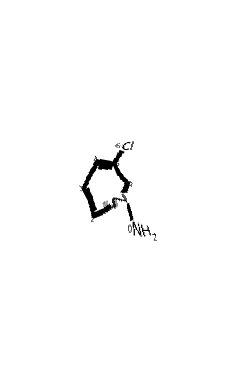 NN1C=CC=C(Cl)C1